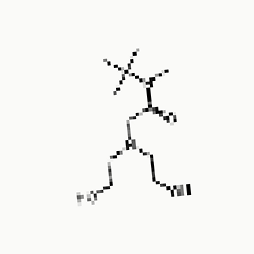 CN(C(=O)CN(CCO)CCO)C(C)(C)C